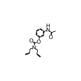 C=CCN(CC=C)C(=O)Oc1cccc(NC(C)=O)c1